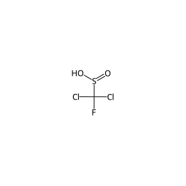 O=S(O)C(F)(Cl)Cl